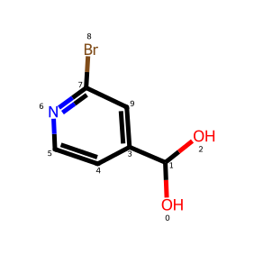 OC(O)c1ccnc(Br)c1